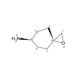 N[C@H]1CC[C@@]2(CC1)CO2